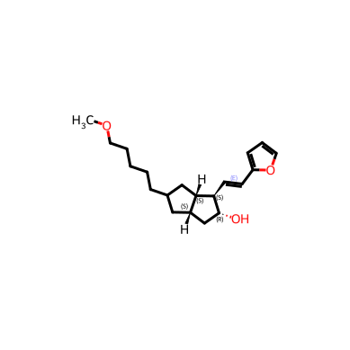 COCCCCCC1C[C@H]2C[C@@H](O)[C@H](/C=C/c3ccco3)[C@H]2C1